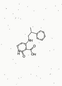 CC(CNc1cc[nH]c(=O)c1C(=O)O)c1ccccc1